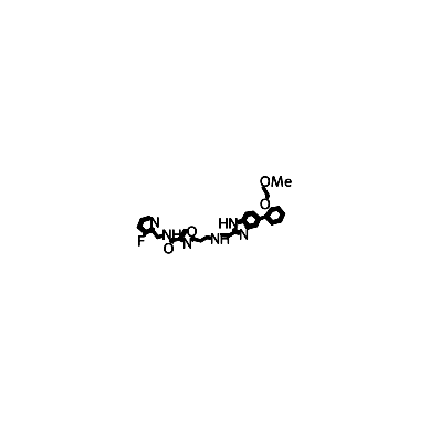 COCCOc1ccccc1-c1ccc2[nH]c(CCNCCc3nc(C(=O)NCc4ncccc4F)co3)nc2c1